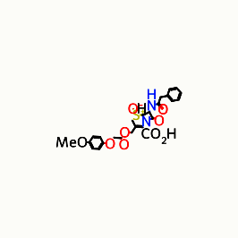 COc1ccc(OCC(=O)OCC2=C(C(=O)O)N3C(=O)C(NC(=O)Cc4ccccc4)[C@H]3[S+]([O-])C2)cc1